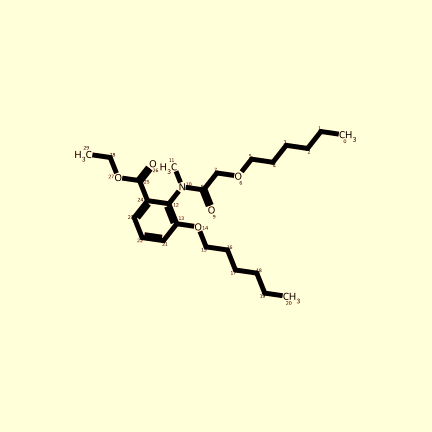 CCCCCCOCC(=O)N(C)c1c(OCCCCCC)cccc1C(=O)OCC